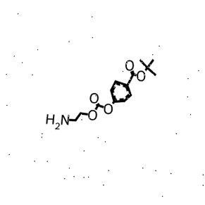 CC(C)(C)OC(=O)c1ccc(OC(=O)OCCN)cc1